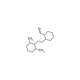 CC1CCCC(C)C1CCC1CCCCC1C=O